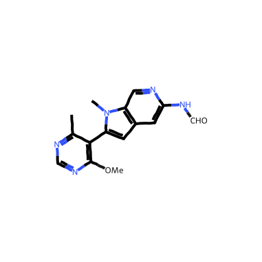 COc1ncnc(C)c1-c1cc2cc(NC=O)ncc2n1C